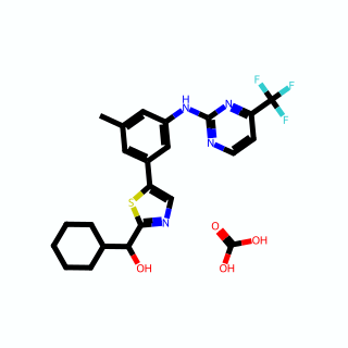 Cc1cc(Nc2nccc(C(F)(F)F)n2)cc(-c2cnc(C(O)C3CCCCC3)s2)c1.O=C(O)O